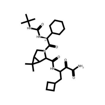 CC(C)(C)NC(=O)N[C@H](C(=O)N1CC2C(C1C(=O)NC(CC1CCC1)C(=O)C(N)=O)C2(C)C)C1CCCCC1